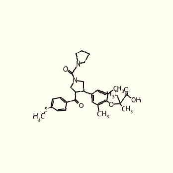 CSc1ccc(C(=O)C2CN(C(=O)N3CCCC3)CC2c2cc(C)c(OC(C)(C)C(=O)O)c(C)c2)cc1